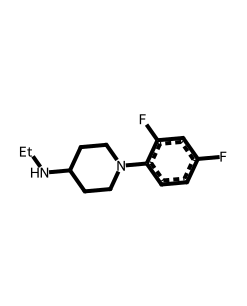 CCNC1CCN(c2ccc(F)cc2F)CC1